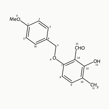 COc1ccc(COc2ccc(C)c(O)c2C=O)cc1